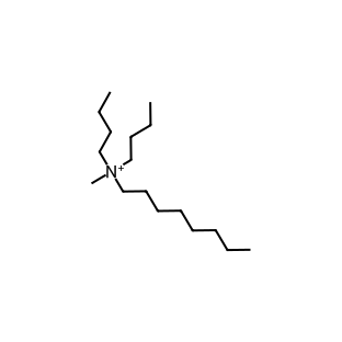 CCCCCCCC[N+](C)(CCCC)CCCC